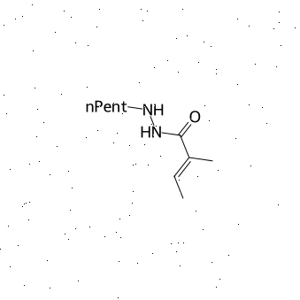 CC=C(C)C(=O)NNCCCCC